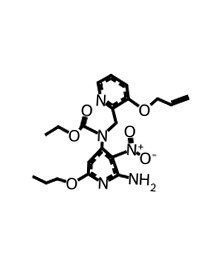 C=CCOc1cccnc1CN(C(=O)OCC)c1cc(OCCC)nc(N)c1[N+](=O)[O-]